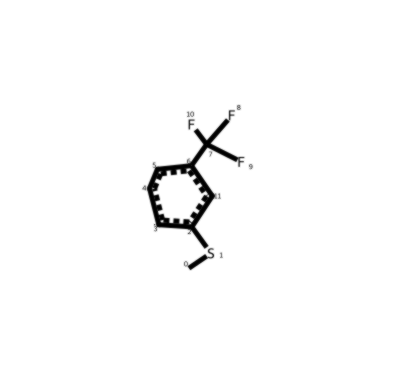 CSc1[c]ccc(C(F)(F)F)c1